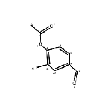 CC(=O)Oc1ccc(C=O)cc1I